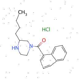 CCCCC1CN(C(=O)c2cccc3ccccc23)CCN1.Cl